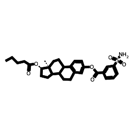 CCCCC(=O)O[C@H]1CCC2C3CCc4cc(OC(=O)c5cccc(S(N)(=O)=O)c5)ccc4C3CC[C@@]21C